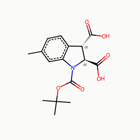 Cc1ccc2c(c1)N(C(=O)OC(C)(C)C)[C@H](C(=O)O)[C@H]2C(=O)O